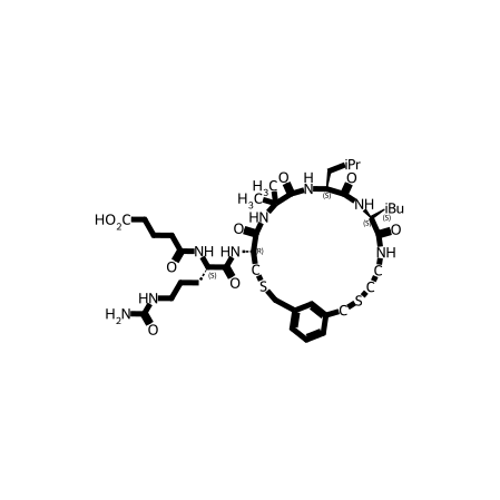 CC[C@H](C)[C@@H]1NC(=O)[C@H](CC(C)C)NC(=O)C(C)(C)NC(=O)[C@@H](NC(=O)[C@H](CCCNC(N)=O)NC(=O)CCCC(=O)O)CSCc2cccc(c2)CSCCNC1=O